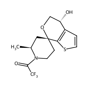 C[C@H]1C[C@@]2(CCN1C(=O)C(F)(F)F)OC[C@H](O)c1ccsc12